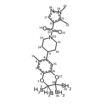 BC1(B)Oc2cc(C)c(C3CCN(S(=O)(=O)c4cnn(C)c4C)CC3)cc2OC1(B)B